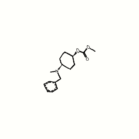 COC(=O)O[C@H]1CC[C@@H](N(C)Cc2ccccc2)CC1